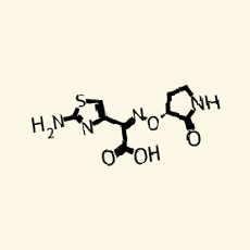 Nc1nc(/C(=N/O[C@@H]2CCNC2=O)C(=O)O)cs1